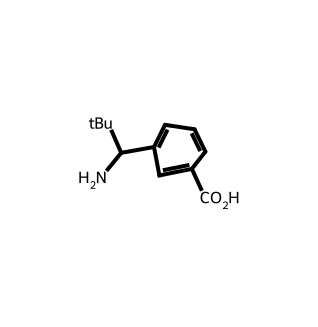 CC(C)(C)C(N)c1cccc(C(=O)O)c1